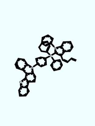 C=C/C=C\c1c(S(C2=CC=CCC2)(c2ccccc2)c2ccc(-n3c4ccc#cc4c4c5oc6ccccc6c5ccc43)cc2)n(-c2ccccc2)c2ccccc12